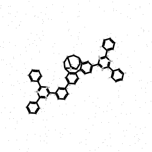 c1ccc(-c2nc(-c3ccccc3)nc(-c3cccc(-c4ccc5c(c4)C4CC6CC(C4)CC(C6)c4cc(-c6nc(-c7ccccc7)nc(-c7ccccc7)n6)ccc4-5)c3)n2)cc1